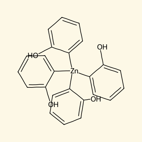 Oc1cccc[c]1[Zn]([c]1ccccc1O)([c]1ccccc1O)[c]1ccccc1O